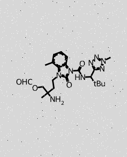 Cc1cccc2c1n(CCC(C)(N)COC=O)c(=O)n2C(=O)NC(c1nnn(C)n1)C(C)(C)C